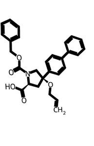 C=CCO[C@@]1(c2ccc(-c3ccccc3)cc2)C[C@@H](C(=O)O)N(C(=O)OCc2ccccc2)C1